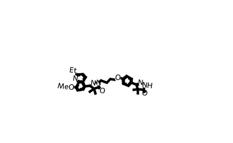 CCc1ccc2c(C3=NN(CCCCOc4ccc(C5=NNC(=O)C5(C)C)cc4)C(=O)C3(C)C)ccc(OC)c2n1